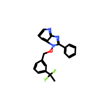 CC(F)(F)c1cccc(COn2c(-c3ccccc3)nc3ncccc32)c1